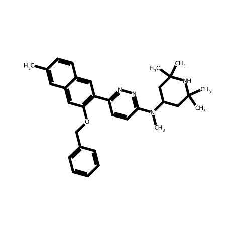 Cc1ccc2cc(-c3ccc(N(C)C4CC(C)(C)NC(C)(C)C4)nn3)c(OCc3ccccc3)cc2c1